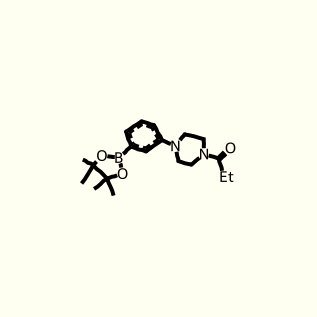 CCC(=O)N1CCN(c2cccc(B3OC(C)(C)C(C)(C)O3)c2)CC1